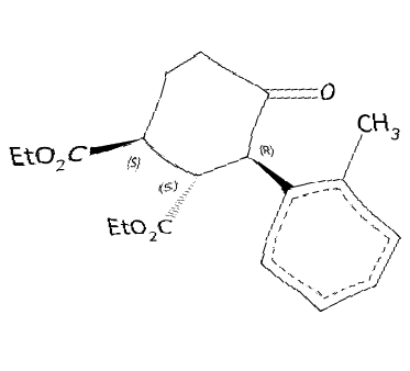 CCOC(=O)[C@@H]1[C@@H](C(=O)OCC)CCC(=O)[C@H]1c1ccccc1C